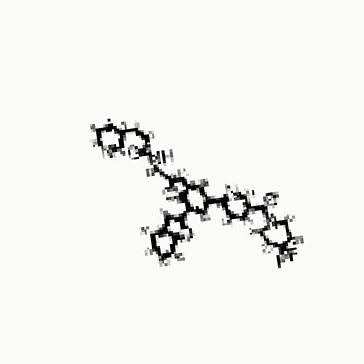 O=C(/C=C\c1cccnc1)NCc1cc2cc(-c3ccc(C(=O)N4CCC(F)(F)CC4)cn3)cc(-c3cc4ccccc4o3)c2o1